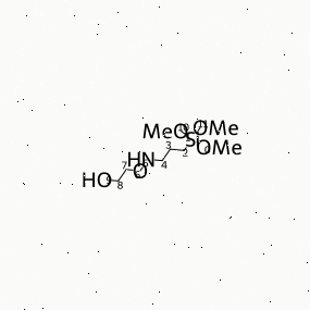 CO[Si](CCCNOCCO)(OC)OC